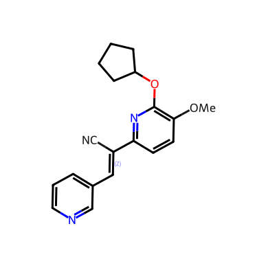 COc1ccc(/C(C#N)=C/c2cccnc2)nc1OC1CCCC1